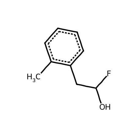 Cc1ccccc1CC(O)F